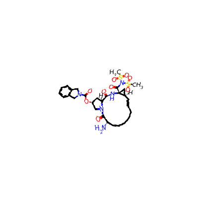 CS(=O)(=O)N(C(=O)[C@@]12C[C@H]1/C=C/CCCCC[C@H](N)C(=O)N1C[C@H](OC(=O)N3Cc4ccccc4C3)C[C@H]1C(=O)N2)S(C)(=O)=O